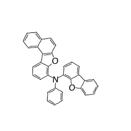 c1ccc(N(c2cccc3c2oc2ccccc23)c2cccc3c2oc2ccc4ccccc4c23)cc1